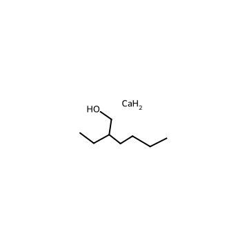 CCCCC(CC)CO.[CaH2]